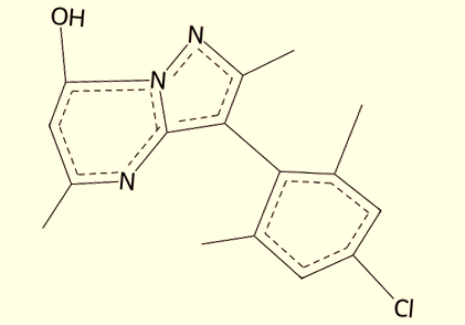 Cc1cc(O)n2nc(C)c(-c3c(C)cc(Cl)cc3C)c2n1